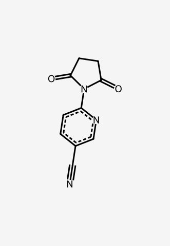 N#Cc1ccc(N2C(=O)CCC2=O)nc1